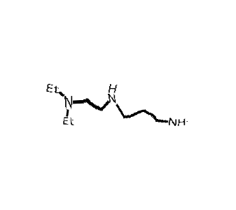 CCN(CC)CCNCCC[NH]